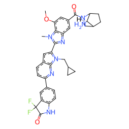 COc1cc(C(=O)N2CC3CCC2[C@@H]3N)cc2nc(-c3cc4ccc(-c5ccc6c(c5)C(F)(F)C(=O)N6)nc4n3CC3CC3)n(C)c12